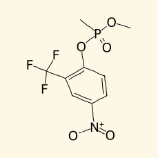 COP(C)(=O)Oc1ccc([N+](=O)[O-])cc1C(F)(F)F